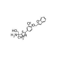 CC(N)(CO)c1nnc(-c2ccc(OCc3cc4ccccc4o3)c(C(F)(F)F)c2)s1